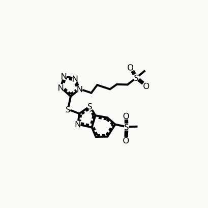 CS(=O)(=O)CCCCCn1nnnc1Sc1nc2ccc(S(C)(=O)=O)cc2s1